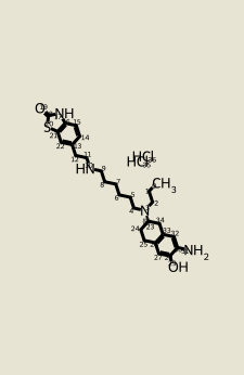 CCCN(CCCCCCNCCc1ccc2[nH]c(=O)sc2c1)[C@@H]1CCc2cc(O)c(N)cc2C1.Cl.Cl